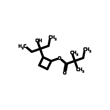 CCC(C)(C)C(=O)OC1CCC1C(O)(CC)CC